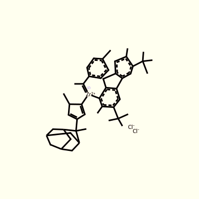 C/[C](c1ccc(C)cc1)=[Zr+2](\[C]1=CC(C2(C)C3CC4CC(C3)CC2C4)=CC1C)[c]1c(C)c(C(C)(C)C)cc2c1Cc1cc(C)c(C(C)(C)C)cc1-2.[Cl-].[Cl-]